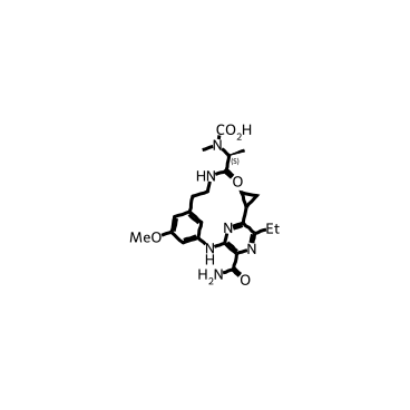 CCc1nc(C(N)=O)c(Nc2cc(CCNC(=O)[C@H](C)N(C)C(=O)O)cc(OC)c2)nc1C1CC1